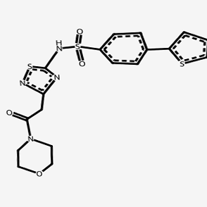 O=C(Cc1nsc(NS(=O)(=O)c2ccc(-c3cccs3)cc2)n1)N1CCOCC1